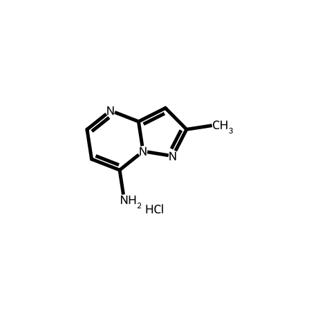 Cc1cc2nccc(N)n2n1.Cl